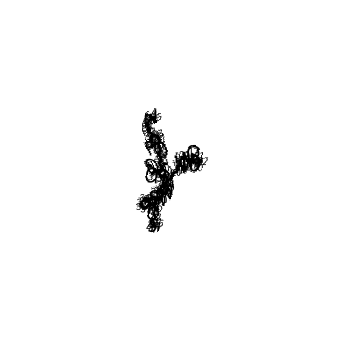 COC(=O)c1nc(N(CCCCN2CCN(C(=O)OC(C)(C)C)CC2)c2cc(C)c(/N=c3\sc4ccccc4n3COCC[Si](C)(C)C)nn2)sc1CCCOc1ccc(C#CCN(C)C)cc1F